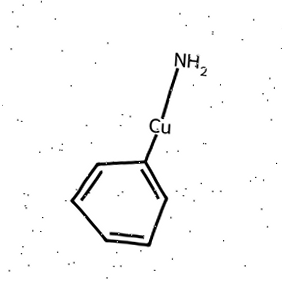 [NH2][Cu][c]1ccccc1